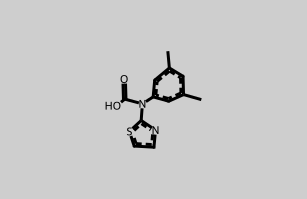 Cc1cc(C)cc(N(C(=O)O)c2nccs2)c1